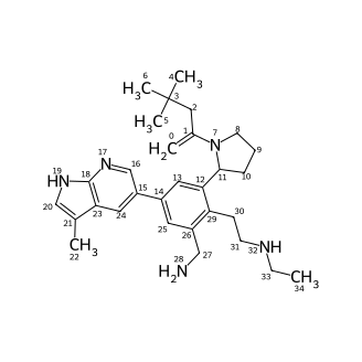 C=C(CC(C)(C)C)N1CCCC1c1cc(-c2cnc3[nH]cc(C)c3c2)cc(CN)c1CCNCC